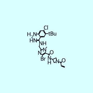 C=CC(=O)N1CC(NC(=O)c2c(Br)nc(CNC(=N)c3cc(C(C)(C)C)c(Cl)cc3N)n2C)C1